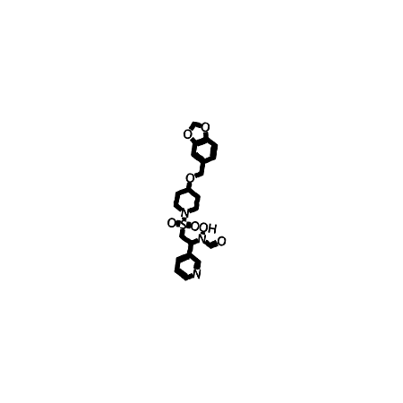 O=CN(O)C(CS(=O)(=O)N1CCC(OCc2ccc3c(c2)OCO3)CC1)c1cccnc1